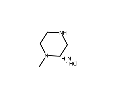 CN1CCNCC1.Cl.N